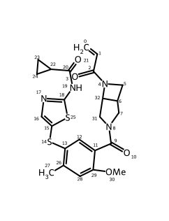 C=CC(=O)N1CC2CN(C(=O)c3cc(Sc4cnc(NC(=O)C5CC5)s4)c(C)cc3OC)CC21